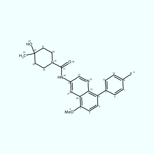 COc1ccc(-c2ccc(F)cc2)c2ncc(NC(=O)N3CCC(C)(O)CC3)nc12